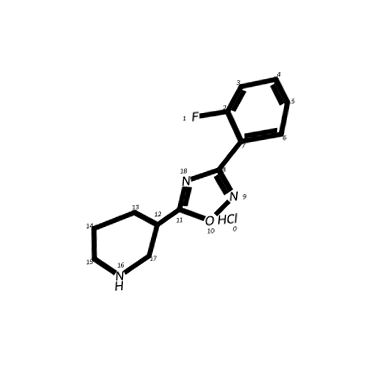 Cl.Fc1ccccc1-c1noc(C2CCCNC2)n1